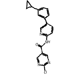 O=C(Nc1ccc(-c2cccc(C3CC3)c2)cn1)c1cnc(Cl)nc1